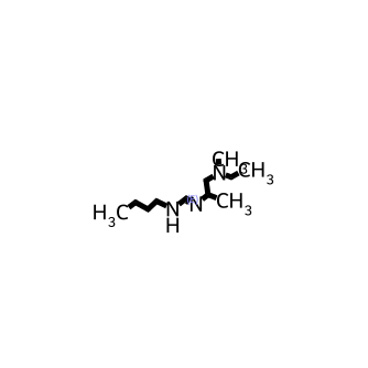 CCCCN/C=N/C(C)CN(C)CC